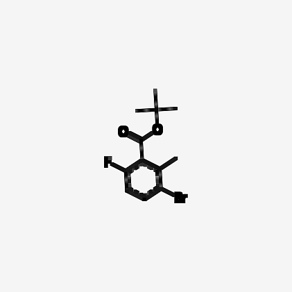 Cc1c(Br)ccc(F)c1C(=O)OC(C)(C)C